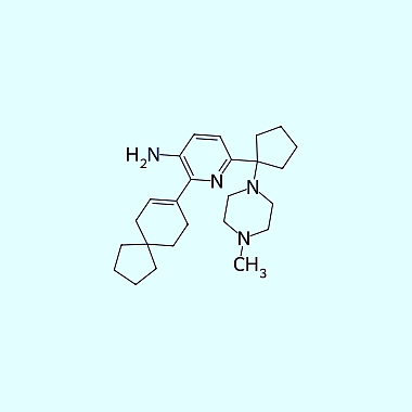 CN1CCN(C2(c3ccc(N)c(C4=CCC5(CCCC5)CC4)n3)CCCC2)CC1